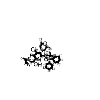 Cc1cnc(C(O)c2nc(CO[Si](c3ccccc3)(c3ccccc3)C(C)(C)C)c(N3C[C@@H](C)O[C@@H](C)C3)c(Cl)c2F)s1